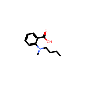 CCCCN(C)c1ccccc1C(=O)O